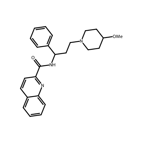 COC1CCN(CCC(NC(=O)c2ccc3ccccc3n2)c2ccccc2)CC1